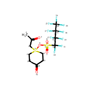 CC(=O)CS1(OS(=O)(=O)C(F)(F)C(F)(F)C(F)(F)C(F)(F)F)CCC(=O)CC1